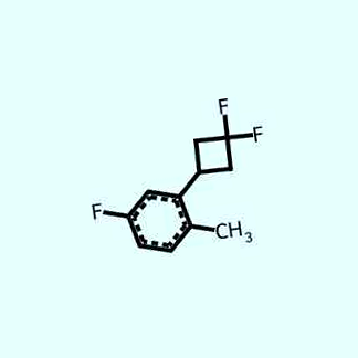 Cc1ccc(F)cc1C1CC(F)(F)C1